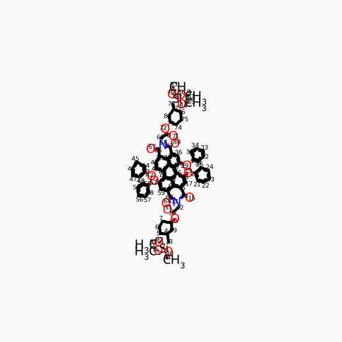 CO[Si](CC1CCCC(OC(=O)CN2C(=O)c3cc(Oc4ccccc4)c4c5c(Oc6ccccc6)cc6c7c(cc(Oc8ccccc8)c(c8c(Oc9ccccc9)cc(c3c48)C2=O)c75)C(=O)N(CC(=O)OC2CCCC(C[Si](OC)(OC)OC)C2)C6=O)C1)(OC)OC